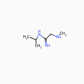 CNCC(=N)NC(C)C